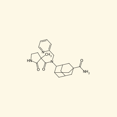 CC1(C(=O)N(Cc2ccccn2)C2C3CC4CC2CC(C(N)=O)(C4)C3)CCNC1=O